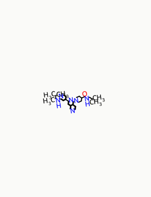 CC(C)CNC(=O)C1CCN(c2nc(-c3ccnc(N[C@H](C)C(C)C)c3)cc3cnccc23)CC1